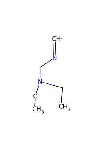 [CH]=NCN(CC)CC